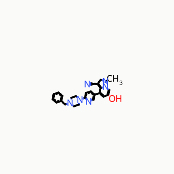 CN1CC(C#N)=C2C(c3ccc(N4CCN(Cc5ccccc5)CC4)nc3)=CC(O)=CN21